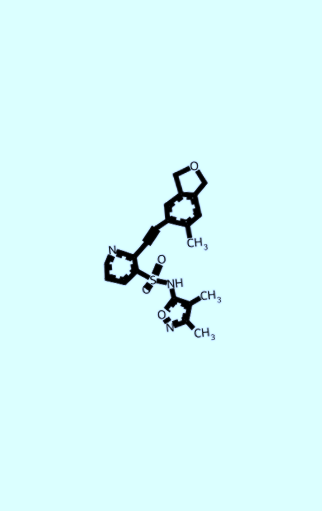 Cc1cc2c(cc1C#Cc1ncccc1S(=O)(=O)Nc1onc(C)c1C)COC2